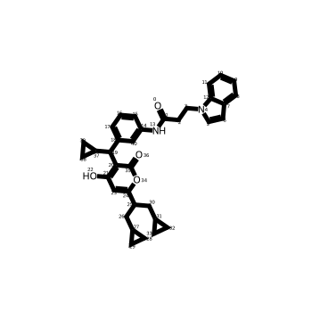 O=C(CCn1ccc2ccccc21)Nc1cccc(C(c2c(O)cc(C(CC3CC3)CC3CC3)oc2=O)C2CC2)c1